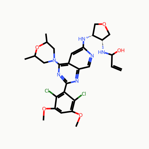 C=CC(O)N[C@H]1COC[C@H]1Nc1cc2c(N3CC(C)OC(C)C3)nc(-c3c(Cl)c(OC)cc(OC)c3Cl)nc2cn1